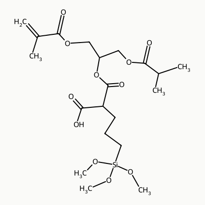 C=C(C)C(=O)OCC(COC(=O)C(C)C)OC(=O)C(CCC[Si](OC)(OC)OC)C(=O)O